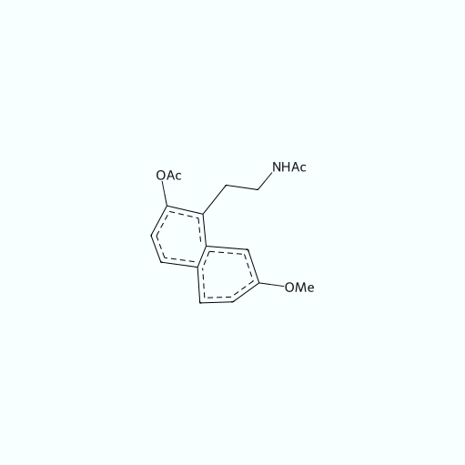 COc1ccc2ccc(OC(C)=O)c(CCNC(C)=O)c2c1